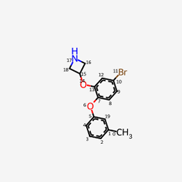 Cc1cccc(Oc2ccc(Br)cc2OC2CNC2)c1